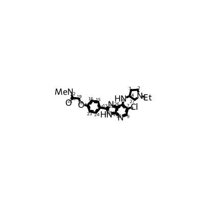 CCN1CCC(Nc2c(Cl)cnc3[nH]c(-c4ccc(OCC(=O)NC)cc4)nc23)C1